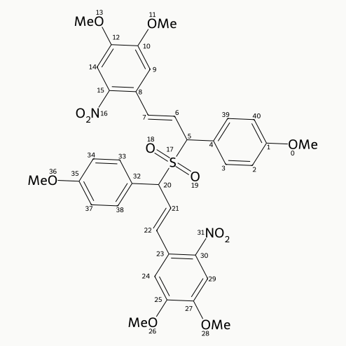 COc1ccc(C(C=Cc2cc(OC)c(OC)cc2[N+](=O)[O-])S(=O)(=O)C(C=Cc2cc(OC)c(OC)cc2[N+](=O)[O-])c2ccc(OC)cc2)cc1